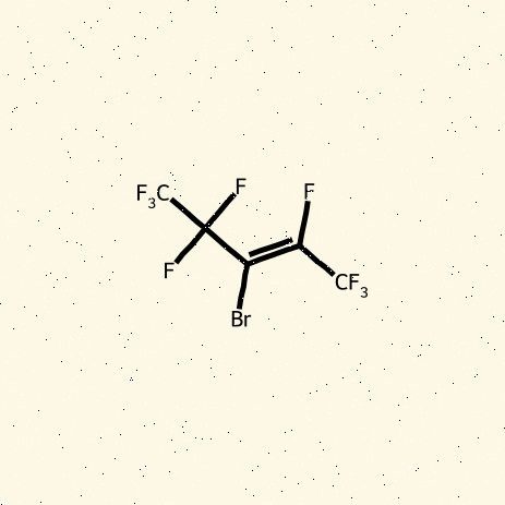 FC(=C(Br)C(F)(F)C(F)(F)F)C(F)(F)F